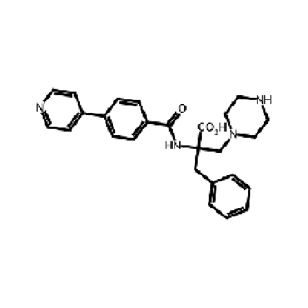 O=C(NC(Cc1ccccc1)(CN1CCNCC1)C(=O)O)c1ccc(-c2ccncc2)cc1